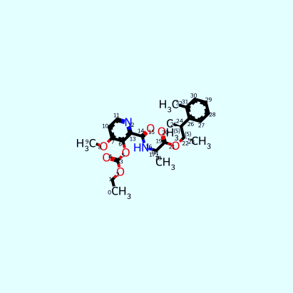 CCOC(=O)Oc1c(OC)ccnc1C(=O)N[C@@H](C)C(=O)O[C@@H](C)[C@@H](C)c1ccccc1C